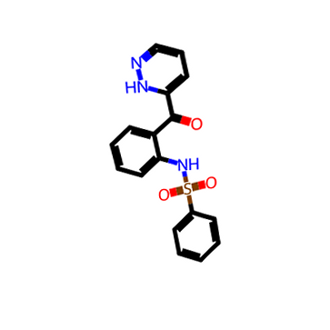 O=C(C1=CC=C=NN1)c1ccccc1NS(=O)(=O)c1ccccc1